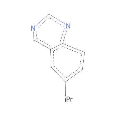 CC(C)c1ccc2ncncc2c1